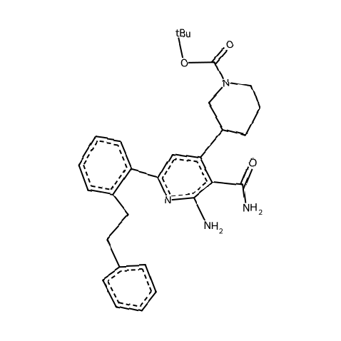 CC(C)(C)OC(=O)N1CCCC(c2cc(-c3ccccc3CCc3ccccc3)nc(N)c2C(N)=O)C1